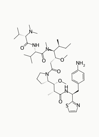 CC[C@H](C)[C@@H]([C@@H](CC(=O)N1CCC[C@H]1[C@H](OC)[C@@H](C)C(=O)N[C@@H](Cc1ccc(N)cc1)c1nccs1)OC)N(C)C(=O)[C@@H](NC(=O)[C@H](C(C)C)N(C)C)C(C)C